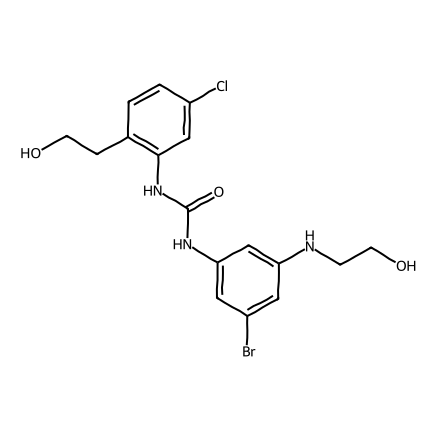 O=C(Nc1cc(Br)cc(NCCO)c1)Nc1cc(Cl)ccc1CCO